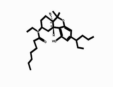 CCCCCCC(=O)N(CC)C1CC[C@@H]2[C@@H](C1)c1c(O)cc(C(CC)CCC)cc1OC2(C)C